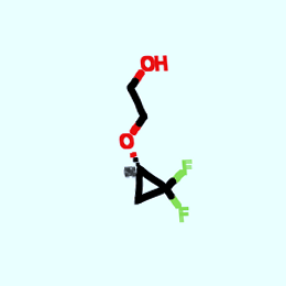 OCCO[C@H]1CC1(F)F